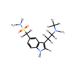 [2H]c1c(C([2H])([2H])C([2H])([2H])N(C)C([2H])([2H])[2H])c2cc(C([2H])([2H])S(=O)(=O)N([2H])C)ccc2n1[2H]